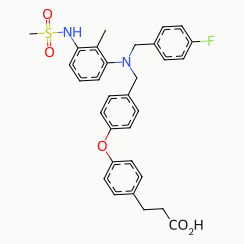 Cc1c(NS(C)(=O)=O)cccc1N(Cc1ccc(F)cc1)Cc1ccc(Oc2ccc(CCC(=O)O)cc2)cc1